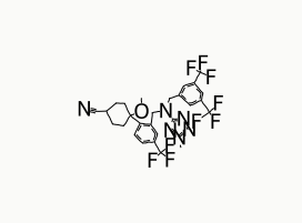 COC1(c2ccc(C(F)(F)F)cc2CN(Cc2cc(C(F)(F)F)cc(C(F)(F)F)c2)c2nnn(C)n2)CCC(C#N)CC1